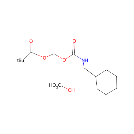 CC(C)(C)C(=O)OCOC(=O)NCC1CCCCC1.O=C(O)O